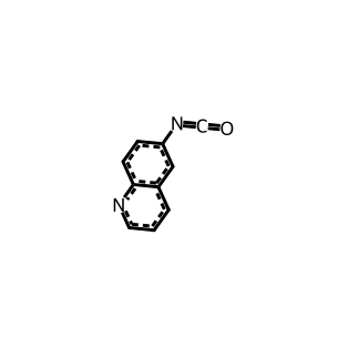 O=C=Nc1ccc2ncccc2c1